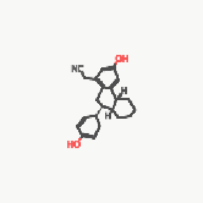 N#CCc1cc(O)cc2c1C[C@@H](C1C=CC(O)=CC1)[C@H]1CCCC[C@@H]21